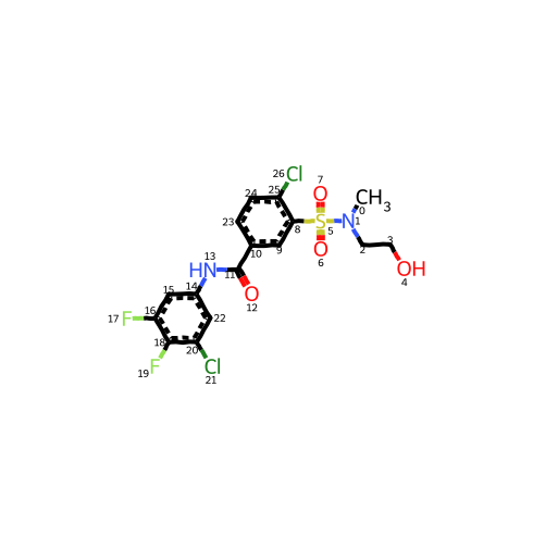 CN(CCO)S(=O)(=O)c1cc(C(=O)Nc2cc(F)c(F)c(Cl)c2)ccc1Cl